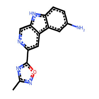 Cc1noc(-c2cc3c(cn2)[nH]c2ccc(N)cc23)n1